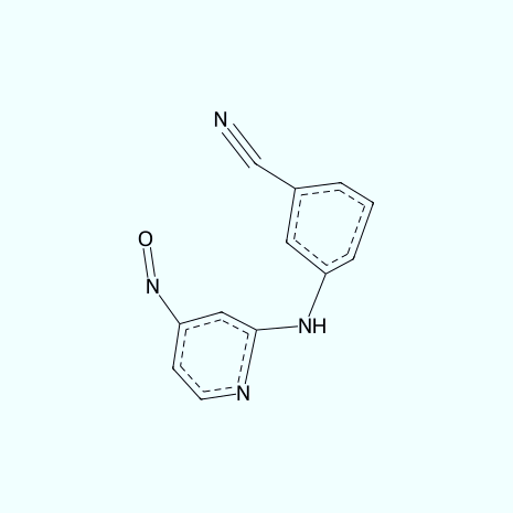 N#Cc1cccc(Nc2cc(N=O)ccn2)c1